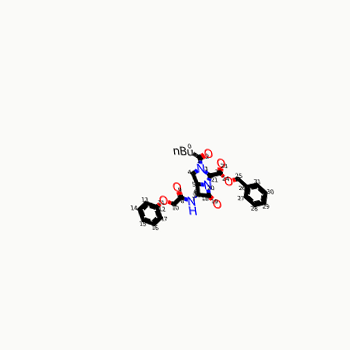 CCCCC(=O)N1CC2[C@@H](NC(=O)COc3ccccc3)C(=O)N2C1C(=O)OCc1ccccc1